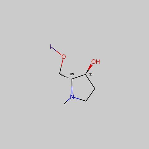 CN1CC[C@H](O)[C@H]1COI